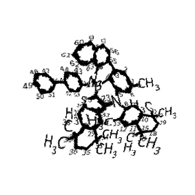 Cc1cc2c3c(c1)N(c1cc4c(cc1C)C(C)(C)CCC4(C)C)c1c(sc4cc5c(cc14)C(C)(C)CCC5(C)C)B3N(c1ccc(-c3ccccc3)cc1)c1c-2ccc2ccccc12